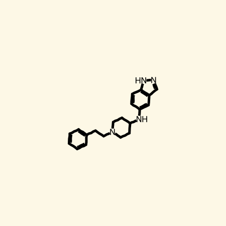 c1ccc(CCN2CCC(Nc3ccc4[nH]ncc4c3)CC2)cc1